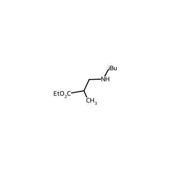 CCOC(=O)C(C)CNC(C)CC